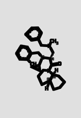 Cc1ccccc1CN(C1CC1)[C@H](CN(C)Cc1ccccc1)C(=O)N1CCC[C@H]2CCCC[C@@H]21